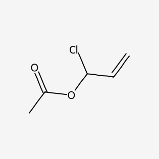 C=CC(Cl)OC(C)=O